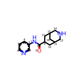 O=C(Nc1cccnc1)C1CC2CNCC(C2)C1